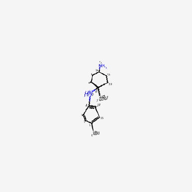 CC(C)(C)c1ccc(NC2(C(C)(C)C)CCC(N)CC2)cc1